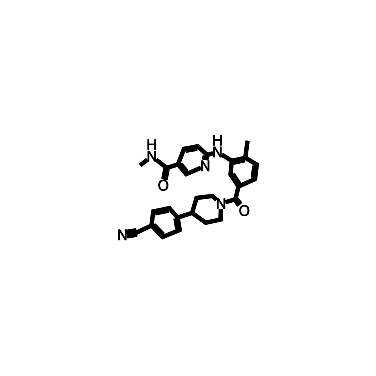 CNC(=O)c1ccc(Nc2cc(C(=O)N3CCC(c4ccc(C#N)cc4)CC3)ccc2C)nc1